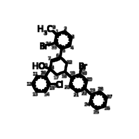 Cc1cccc(C2=CC(O)(c3ccccc3Cl)CC(c3ccc(-c4ccccc4)cc3Br)C2)c1Br